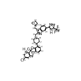 CC1(c2ncc(Cl)cc2F)Oc2cccc(C3CCN(Cc4nc5cc(-c6nnc(C(F)(F)F)[nH]6)ccc5n4C[C@@H]4CCO4)CC3)c2O1